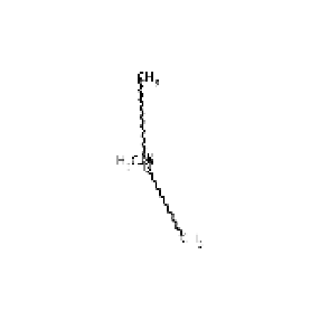 CCCCCCCCCCCCCCCCCCn1cc[n+](CCCCCCCCCCCCCCCCCC)c1CC